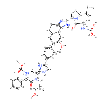 C=C(CC)[C@H]1CC[C@@H](c2nc3c([nH]2)-c2cc4c(cc2CC3)-c2ccc(-c3cnc([C@H](C)N(C[C@H](C)COC)C(=O)[C@H](NC(=O)OC)c5ccccc5)[nH]3)cc2CO4)N1C(=O)[C@H](C)NC(=O)OC